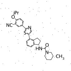 CC(C)Oc1ccc(-c2ncc(-c3cccc4c3CC[C@@H]4NC(=O)N3CCC[C@@H](C)C3)s2)cc1C#N